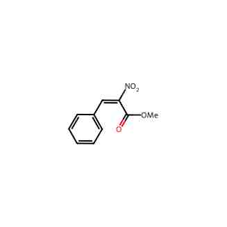 COC(=O)C(=Cc1ccccc1)[N+](=O)[O-]